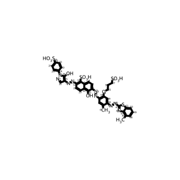 Cc1cc(N=Nc2ccc3c(S(=O)(=O)O)c(N=Nc4cnn(-c5ccc(S(=O)(=O)O)cc5)c4O)ccc3c2O)c(OCCCS(=O)(=O)O)cc1N=Nc1nc2c(C)cccc2s1